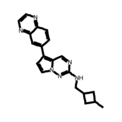 CC1CC(CNc2ncc3c(-c4ccc5nccnc5c4)ccn3n2)C1